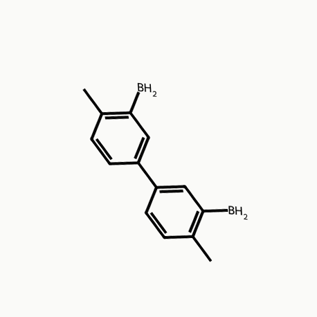 Bc1cc(-c2ccc(C)c(B)c2)ccc1C